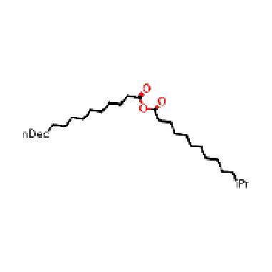 CCCCCCCCCCCCCCCCCCCC(=O)OC(=O)CCCCCCCCCCC(C)C